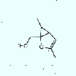 CC1=CC2C(C)C2(CO)O1